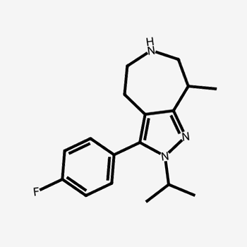 CC1CNCCc2c1nn(C(C)C)c2-c1ccc(F)cc1